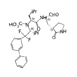 CC(C)C[C@@H](C(=O)N[C@H](C=O)C[C@@H]1CCNC1=O)N(C(=O)O)[C@H](C(C)C)C(F)(F)c1cccc(-c2ccccc2)c1